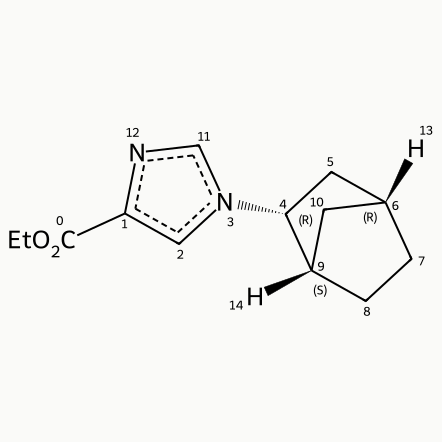 CCOC(=O)c1cn([C@@H]2C[C@@H]3CC[C@H]2C3)cn1